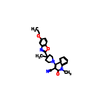 CCOc1ccc2oc(C3(C)CCN(c4c(C#N)c(=O)n(C)c5ccccc45)CC3)nc2c1